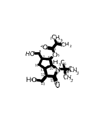 C=C(C)C(=O)OC1C(CO)CC2C(CO)C(=O)N(C(C)(C)C)C21